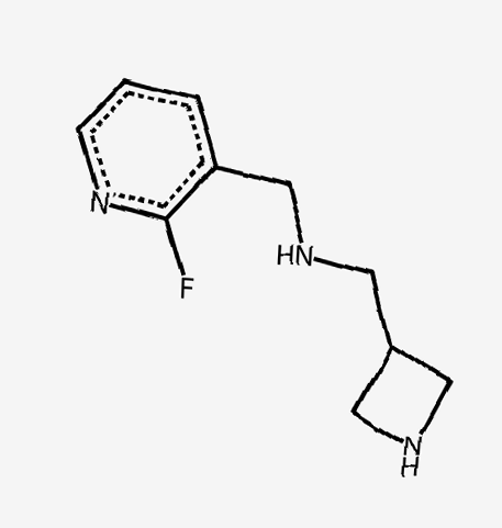 Fc1ncccc1CNCC1CNC1